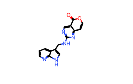 O=c1occc2nc(NCc3c[nH]c4ncccc34)ncc12